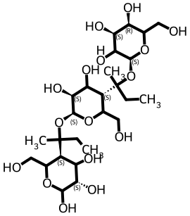 CCC(C)(O[C@@H]1OC(CO)[C@@H](C(C)(CC)O[C@@H]2OC(CO)[C@H](O)[C@H](O)C2O)C(O)[C@@H]1O)[C@@H]1C(CO)OC(O)[C@@H](O)C1O